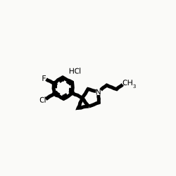 CCCN1CC2CC2(c2ccc(F)c(Cl)c2)C1.Cl